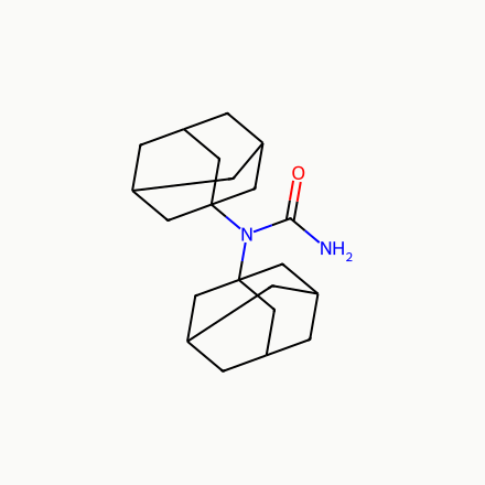 NC(=O)N(C12CC3CC(CC(C3)C1)C2)C12CC3CC(CC(C3)C1)C2